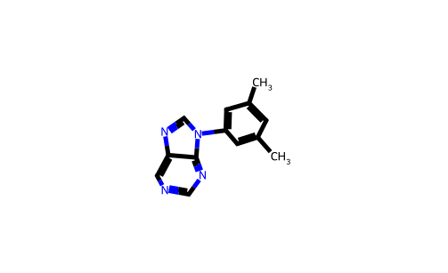 Cc1cc(C)cc(-n2cnc3cncnc32)c1